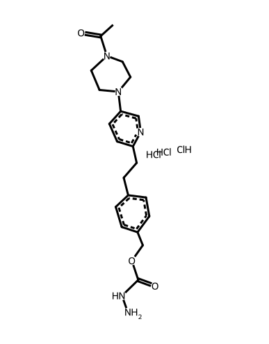 CC(=O)N1CCN(c2ccc(CCc3ccc(COC(=O)NN)cc3)nc2)CC1.Cl.Cl.Cl